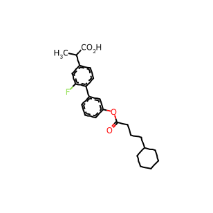 CC(C(=O)O)c1ccc(-c2cccc(OC(=O)CCCC3CCCCC3)c2)c(F)c1